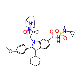 COc1ccc(-c2c(C3CCCCC3)c3ccc(C(=O)NS(=O)(=O)N(C)C4CC4)cc3n2CC2(C(=O)N3C4CCC3CN(C)C4)CC2)cc1